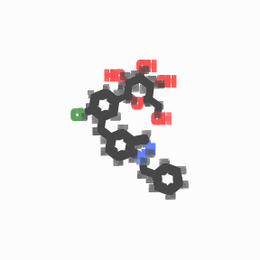 OC[C@H]1O[C@@H](c2ccc(Cl)c(Cc3ccc4c(cnn4Cc4ccccc4)c3)c2)[C@H](O)[C@@H](O)[C@@H]1O